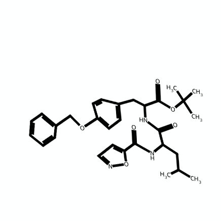 CC(C)CC(NC(=O)c1ccno1)C(=O)NC(Cc1ccc(OCc2ccccc2)cc1)C(=O)OC(C)(C)C